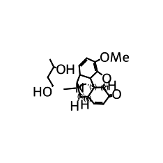 CC(O)CCO.COC1=C2O[C@H]3C(=O)C=C[C@H]4[C@H]5CC(C=C1)C2[C@@]34CCN5C